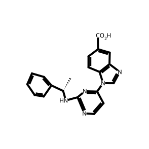 C[C@H](Nc1nccc(-n2cnc3cc(C(=O)O)ccc32)n1)c1ccccc1